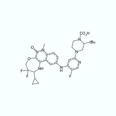 Cn1c(=O)c2c(c3cc(Nc4cc(N5CCN(C(=O)O)C(C(C)(C)C)C5)ncc4F)ccc31)NC(C1CC1)C(F)(F)CO2